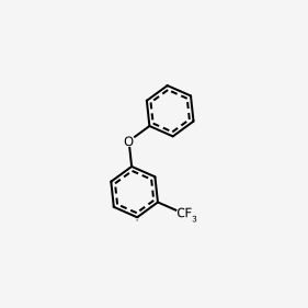 FC(F)(F)c1[c]ccc(Oc2ccccc2)c1